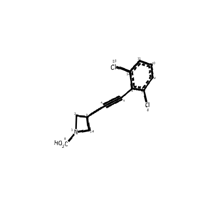 O=C(O)N1CC(C#Cc2c(Cl)cccc2Cl)C1